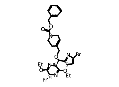 CCOC1=N[C@H](C(C)C)C(OCC)=N[C@H]1C(OCC1=CCN(C(=O)OCc2ccccc2)CC1)c1nc(Br)cs1